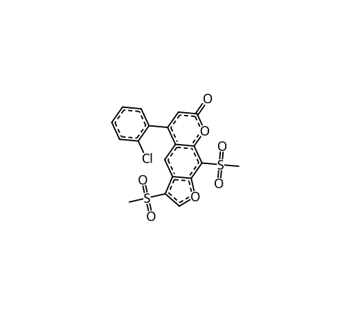 CS(=O)(=O)c1coc2c(S(C)(=O)=O)c3oc(=O)cc(-c4ccccc4Cl)c3cc12